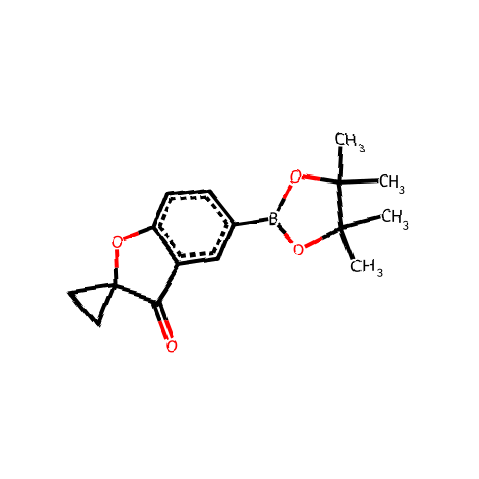 CC1(C)OB(c2ccc3c(c2)C(=O)C2(CC2)O3)OC1(C)C